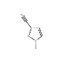 CN1C=CC(C#N)[N]1